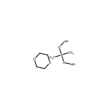 C1COCCO1.CCCO[Si](C)(C)OCCC